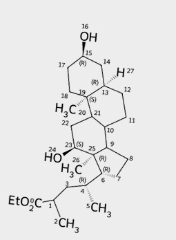 CCOC(=O)C(C)C[C@@H](C)[C@H]1CCC2C3CC[C@@H]4C[C@H](O)CC[C@]4(C)C3C[C@H](O)[C@@]21C